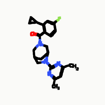 Cc1cc(C)nc(N2CC3CC2CN(C(=O)c2ccc(F)cc2C2CC2)C3)n1